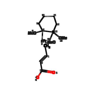 CC=CC([O])=O.CCCC1(OC)CCCC[Si]1(OC)OC